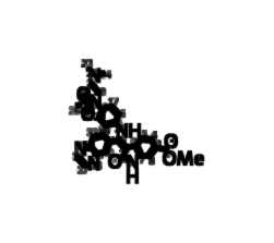 COC(=O)c1ccc2c(c1)NC(=O)C2=C(Nc1ccc(N(CCN(C)C)S(C)(=O)=O)cc1)c1ccc2nccnc2c1